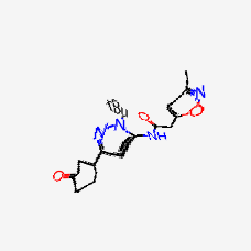 Cc1cc(CC(=O)Nc2cc(C3CCC(=O)C3)nn2C(C)(C)C)on1